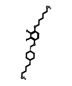 CCCCCCOc1ccc(OC[C@H]2CC[C@H](CCCCC)CC2)c(F)c1F